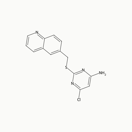 Nc1cc(Cl)nc(SCc2ccc3ncccc3c2)n1